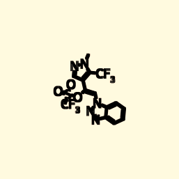 Cn1ncc(C(=Cn2nnc3ccccc32)OS(=O)(=O)C(F)(F)F)c1C(F)(F)F